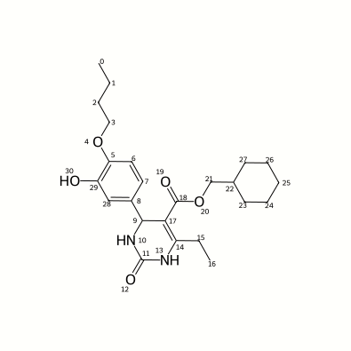 CCCCOc1ccc(C2NC(=O)NC(CC)=C2C(=O)OCC2CCCCC2)cc1O